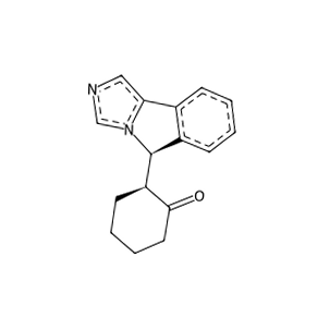 O=C1CCCC[C@H]1[C@@H]1c2ccccc2-c2cncn21